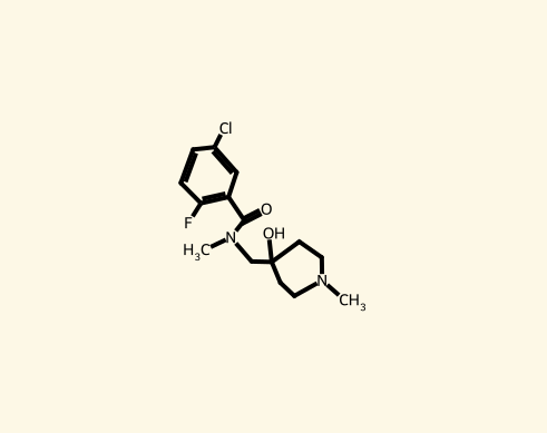 CN1CCC(O)(CN(C)C(=O)c2cc(Cl)ccc2F)CC1